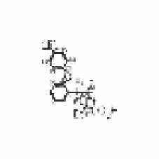 CCC(CC)(OC(F)(c1ccccc1Oc1ccc(Cl)cc1)C(F)F)C(=O)O